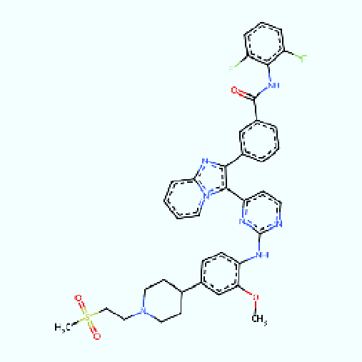 COc1cc(C2CCN(CCS(C)(=O)=O)CC2)ccc1Nc1nccc(-c2c(-c3cccc(C(=O)Nc4c(F)cccc4F)c3)nc3ccccn23)n1